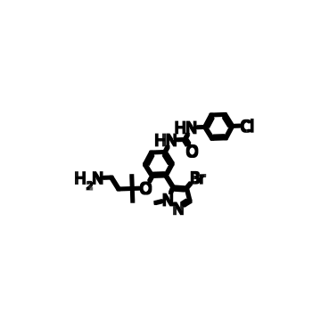 Cn1ncc(Br)c1-c1cc(NC(=O)Nc2ccc(Cl)cc2)ccc1OC(C)(C)CCN